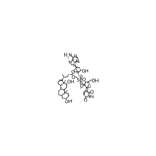 CO[C@@H]1C(OP(=O)(OC[C@H]2O[C@@H](n3cnc4c(N)ncnc43)CC2O)SCOC(=O)CCC(C)C2CCC3C4CCC5CC(O)CCC5(C)C4CC(O)C23C)[C@@H](CO)O[C@H]1n1ccc(=O)[nH]c1=O